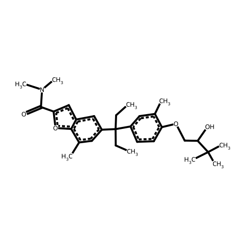 CCC(CC)(c1ccc(OCC(O)C(C)(C)C)c(C)c1)c1cc(C)c2oc(C(=O)N(C)C)cc2c1